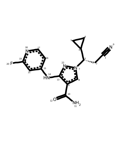 N#CC[C@@H](C1CC1)n1cc(C(N)=O)c(Nc2ccnc(F)c2)n1